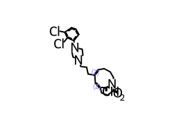 C=C1/C2=C\C(CCCN3CCN(c4cccc(Cl)c4Cl)CC3)=C/CCCN1C(=O)CC2